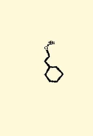 CC(C)(C)OCCC1CCCCC1